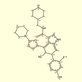 N#CC1C(c2ccc(N3CCOCC3)o2)=c2c(C(=O)NCC3CCNCC3)n[nH]c2=NC1c1ccc(O)cc1F